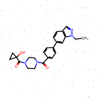 CCn1ncc2ccc(-c3ccc(C(=O)N4CCN(C(=O)C5(O)CC5)CC4)cc3)cc21